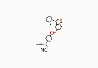 CC#CC(CC#N)c1ccc(OCc2ccc3scc(-c4ccccc4C)c3c2)cc1